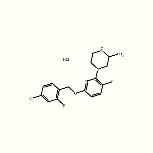 CC1CN(c2nc(OCc3ccc(Cl)cc3F)ccc2F)CCN1.Cl